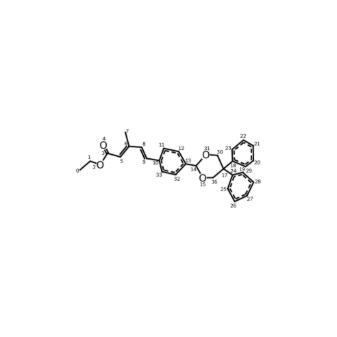 CCOC(=O)C=C(C)C=Cc1ccc(C2OCC(c3ccccc3)(c3ccccc3)CO2)cc1